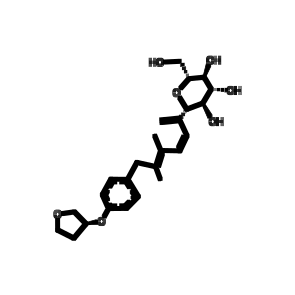 C=C(/C=C\C(C)=C(/C)Cc1ccc(O[C@H]2CCOC2)cc1)[C@@H]1O[C@H](CO)[C@@H](O)[C@H](O)[C@H]1O